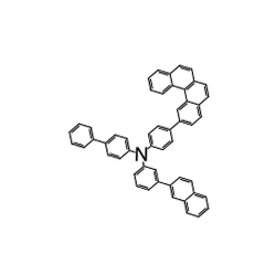 c1ccc(-c2ccc(N(c3ccc(-c4ccc5ccc6ccc7ccccc7c6c5c4)cc3)c3cccc(-c4ccc5ccccc5c4)c3)cc2)cc1